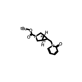 CC(C)(C)OC(=O)N1C[C@@H]2C(Cn3ccccc3=O)[C@@H]2C1